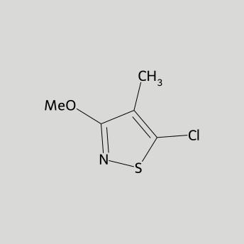 COc1nsc(Cl)c1C